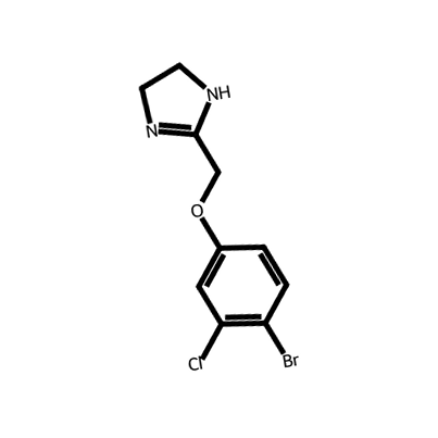 Clc1cc(OCC2=NCCN2)ccc1Br